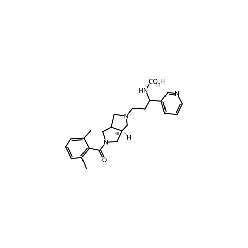 Cc1cccc(C)c1C(=O)N1CC2CN(CCC(NC(=O)O)c3cccnc3)C[C@H]2C1